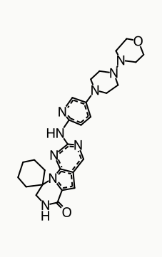 O=C1NCC2(CCCCC2)n2c1cc1cnc(Nc3ccc(N4CCN(N5CCOCC5)CC4)cn3)nc12